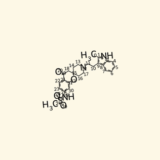 Cc1[nH]c2ccccc2c1CCN1CCC2(CC1)CC(=O)c1ccc(NS(C)(=O)=O)cc1O2